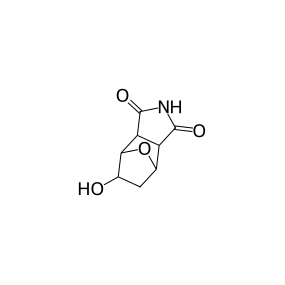 O=C1NC(=O)C2C3OC(CC3O)C12